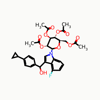 CC(=O)OC[C@H]1O[C@@H](n2cc(C(O)c3ccc(C4CC4)cc3)c3c(F)cccc32)[C@H](OC(C)=O)[C@@H](OC(C)=O)[C@@H]1OC(C)=O